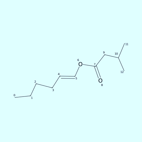 CCCC/C=C/OC(=O)CC(C)C